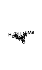 CNc1ncc(-c2nc(N3CCOCC3)c3nc(CN4CCN(C(=O)[C@H](C)O)CC4)sc3n2)cn1